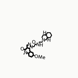 COc1ccc2c(c1)c1c(cnn1CC(=O)NCCN1CC[C@@H]3CCCC[C@H]3C1)c(=O)n2C